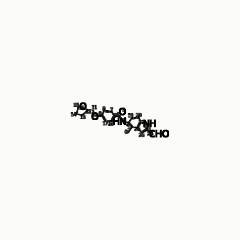 Cc1c(NC(=O)c2ccc(OC[C@@H]3CCCO3)cc2)ccc2[nH]c(C=O)cc12